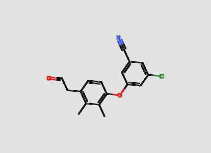 Cc1c(CC=O)ccc(Oc2cc(Cl)cc(C#N)c2)c1C